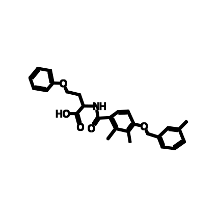 Cc1cccc(COc2ccc(C(=O)NC(CCOc3ccccc3)C(=O)O)c(C)c2C)c1